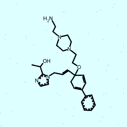 CC(O)c1nccn1C/C=C/C1(OCCN2CCN(CCN)CC2)C=CC(c2ccccc2)=CC1